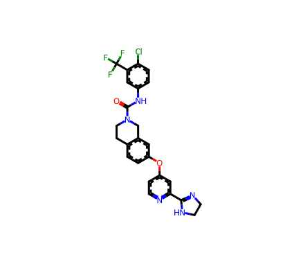 O=C(Nc1ccc(Cl)c(C(F)(F)F)c1)N1CCc2ccc(Oc3ccnc(C4=NCCN4)c3)cc2C1